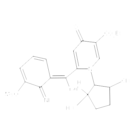 CCOC(=O)c1cn(C2C(C)CCC2(C)C)c(/C(=C2\C=CC=C(OC)C2=N)C(C)CC)cc1=O